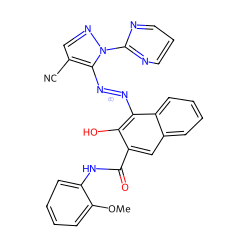 COc1ccccc1NC(=O)c1cc2ccccc2c(/N=N/c2c(C#N)cnn2-c2ncccn2)c1O